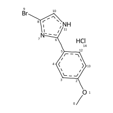 COc1ccc(-c2nc(Br)c[nH]2)cc1.Cl